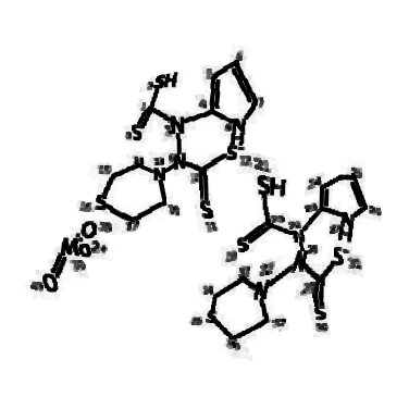 S=C(S)N(c1ccc[nH]1)N(C(=S)[S-])N1CCSCC1.S=C(S)N(c1ccc[nH]1)N(C(=S)[S-])N1CCSCC1.[O]=[Mo+2]=[O]